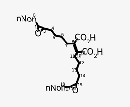 CCCCCCCCCC1OC1CCCC/C(C(=O)O)=C(\CCCCC1OC1CCCCCCCCC)C(=O)O